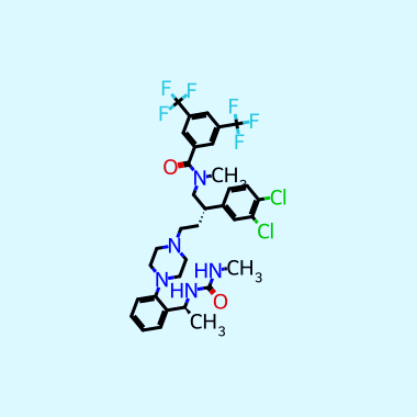 CNC(=O)N[C@@H](C)c1ccccc1N1CCN(CC[C@H](CN(C)C(=O)c2cc(C(F)(F)F)cc(C(F)(F)F)c2)c2ccc(Cl)c(Cl)c2)CC1